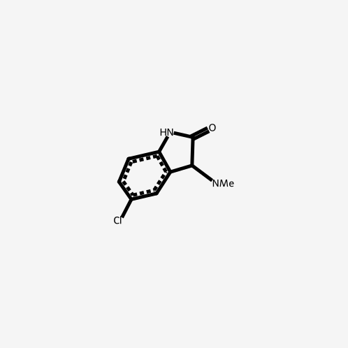 CNC1C(=O)Nc2ccc(Cl)cc21